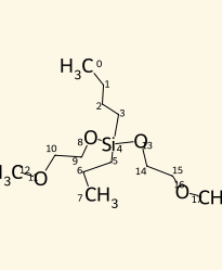 CCCC[Si](CCC)(OCCOC)OCCOC